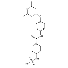 CC1CC(Oc2ccc(NC(=O)N3CCC(NS(=O)(=O)C(C)C)CC3)cc2)CC(C)O1